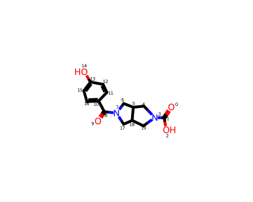 O=C(O)N1CC2CN(C(=O)c3ccc(O)cc3)CC2C1